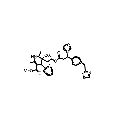 COC(=O)C1=C(C)NC(C)C(CCOC(=O)CC(c2ccc(Cc3ncc[nH]3)cc2)n2ccnc2)(C(=O)O)C1c1ccccn1